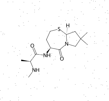 CN[C@@H](C)C(=O)N[C@H]1CCS[C@H]2CC(C)(C)CN2C1=O